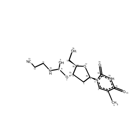 Cc1cn([C@H]2C[C@H](OP(O)NCCC#N)[C@@H](CO)O2)c(=O)[nH]c1=O